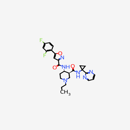 CCCN1CC[C@H](NC(=O)c2cc(-c3ccc(F)cc3F)on2)[C@@H](C(=O)NC2(c3ncccn3)CC2)C1